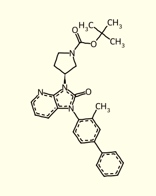 Cc1cc(-c2ccccc2)ccc1-n1c(=O)n([C@H]2CCN(C(=O)OC(C)(C)C)C2)c2ncccc21